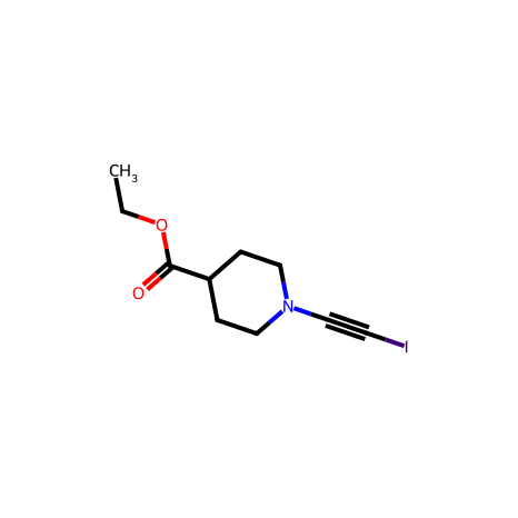 CCOC(=O)C1CCN(C#CI)CC1